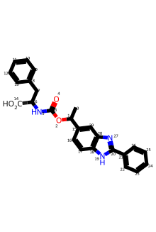 CC(OC(=O)NC(Cc1ccccc1)C(=O)O)c1ccc2[nH]c(-c3ccccc3)nc2c1